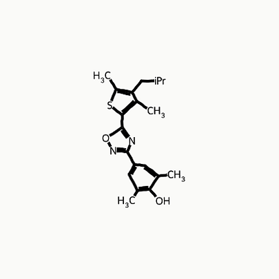 Cc1cc(-c2noc(-c3sc(C)c(CC(C)C)c3C)n2)cc(C)c1O